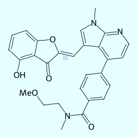 COCCN(C)C(=O)c1ccc(-c2ccnc3c2c(/C=C2\Oc4cccc(O)c4C2=O)cn3C)cc1